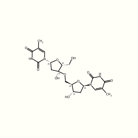 Cc1cn([C@H]2C[C@H](O)[C@@H]([CH]O[C@@]3(O)C[C@H](n4cc(C)c(=O)[nH]c4=O)O[C@@H]3CO)O2)c(=O)[nH]c1=O